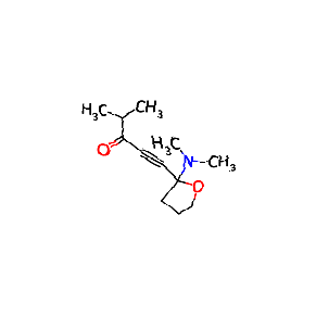 CC(C)C(=O)C#CC1(N(C)C)CCCO1